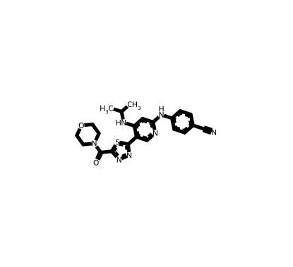 CC(C)Nc1cc(Nc2ccc(C#N)cc2)ncc1-c1nnc(C(=O)N2CCOCC2)s1